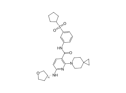 O=C(Nc1cccc(S(=O)(=O)C2CCCC2)c1)c1ccc(N[C@@H]2CCOC2)nc1N1CCC2(CC1)CC2